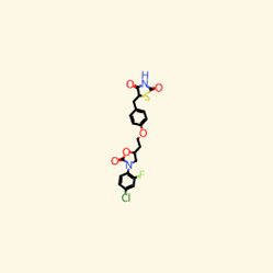 O=C1NC(=O)C(Cc2ccc(OCCC3CN(c4ccc(Cl)cc4F)C(=O)O3)cc2)S1